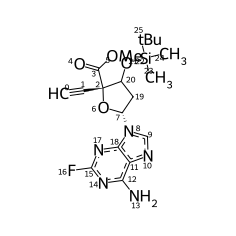 C#C[C@]1(C(=O)OC)O[C@@H](n2cnc3c(N)nc(F)nc32)CC1O[Si](C)(C)C(C)(C)C